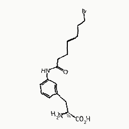 N[C@@H](Cc1cccc(NC(=O)CCCCCCBr)c1)C(=O)O